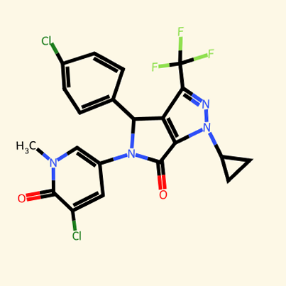 Cn1cc(N2C(=O)c3c(c(C(F)(F)F)nn3C3CC3)C2c2ccc(Cl)cc2)cc(Cl)c1=O